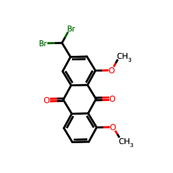 COc1cccc2c1C(=O)c1c(OC)cc(C(Br)Br)cc1C2=O